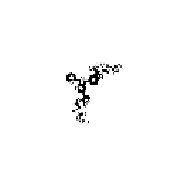 COC(=O)c1c2cc(-c3nn(C4CCCCO4)c4ncc(-c5cnn(C)c5O[C@@H](C)CNC(=O)OC(C)(C)C)cc34)ccc2nn1CCO[Si](C)(C)C(C)(C)C